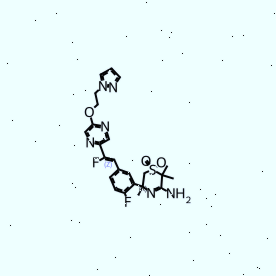 CC1(C)C(N)=N[C@](C)(c2cc(/C=C(\F)c3cnc(OCCn4cccn4)cn3)ccc2F)CS1(=O)=O